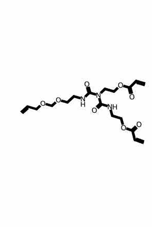 C=CCOCOCCNC(=O)N(CCOC(=O)C=C)C(=O)NCCOC(=O)C=C